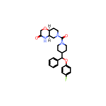 O=C1CO[C@H]2CCN(C(=O)N3CCC(C(Oc4ccc(F)cc4)c4ccccc4)CC3)C[C@H]2N1